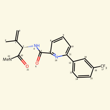 C=C(C)[C@H](NC(=O)c1cccc(-c2cccc(C(F)(F)F)c2)n1)C(=O)NC